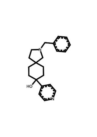 OC1(c2ccncc2)CCC2(CCN(Cc3ccccc3)C2)CC1